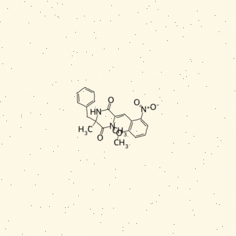 COc1cccc([N+](=O)[O-])c1C=C1C(=O)NC(C)(Cc2ccccc2)C(=O)N1C